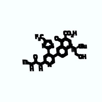 CCNC(=O)Nc1cc(-c2nc(C(F)(F)F)cs2)c(-c2ccc3c(c2)c(=O)c(C(=O)O)cn3[C@@H](CO)C(C)(C)C)cn1